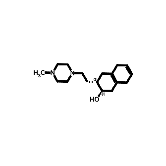 CN1CCN(CC[C@@H]2CC3=C(CC=CC3)C[C@H]2O)CC1